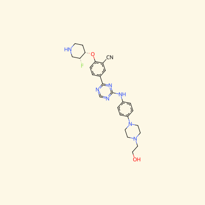 N#Cc1cc(-c2ncnc(Nc3ccc(N4CCN(CCO)CC4)cc3)n2)ccc1O[C@H]1CCNC[C@H]1F